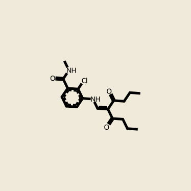 CCCC(=O)C(=CNc1cccc(C(=O)NC)c1Cl)C(=O)CCC